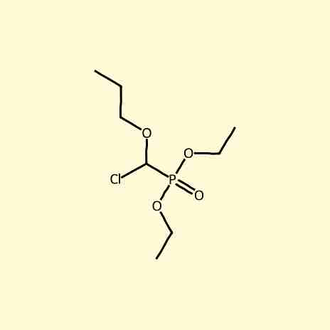 CCCOC(Cl)P(=O)(OCC)OCC